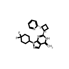 C=C1NC([C@@H]2CC[C@H]2c2ccccn2)=Nc2c1cnn2C1CCC(F)(F)CC1